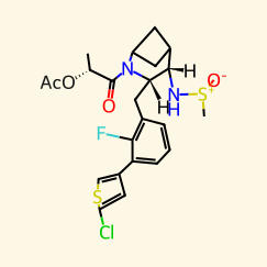 CC(=O)O[C@H](C)C(=O)N1C2CC(C2)[C@H](N[S+](C)[O-])[C@@H]1Cc1cccc(-c2csc(Cl)c2)c1F